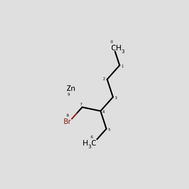 CCCCC(CC)CBr.[Zn]